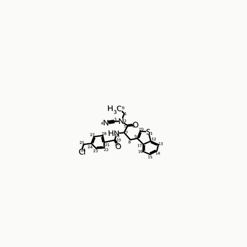 CCN(C#N)C(=O)C(Cc1csc2ccccc12)NC(=O)c1ccc(CCl)cc1